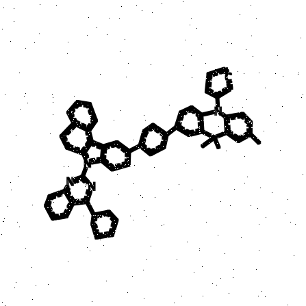 Cc1ccc2c(c1)C(C)(C)c1cc(-c3ccc(-c4ccc5c(c4)c4c6ccccc6ccc4n5-c4nc(-c5ccccc5)c5ccccc5n4)cc3)ccc1N2c1ccccc1